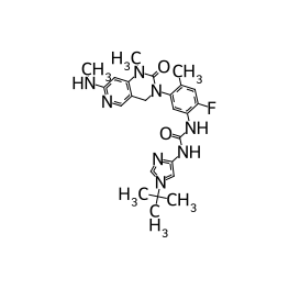 CNc1cc2c(cn1)CN(c1cc(NC(=O)Nc3cn(C(C)(C)C)cn3)c(F)cc1C)C(=O)N2C